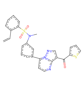 C=Cc1ccccc1S(=O)(=O)N(C)c1cccc(-c2ccnc3c(C(=O)c4cccs4)cnn23)c1